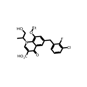 CCOc1cc(Cc2cccc(Cl)c2F)cc2c(=O)c(C(=O)O)cn(C(C)CO)c12